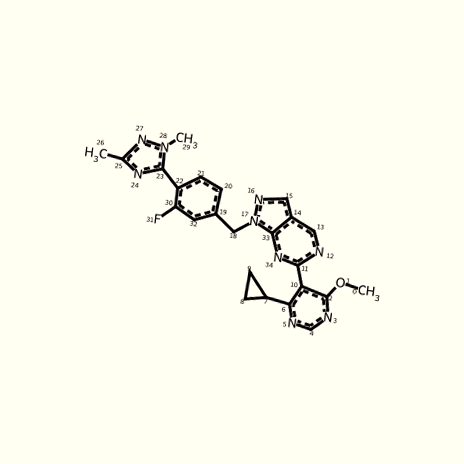 COc1ncnc(C2CC2)c1-c1ncc2cnn(Cc3ccc(-c4nc(C)nn4C)c(F)c3)c2n1